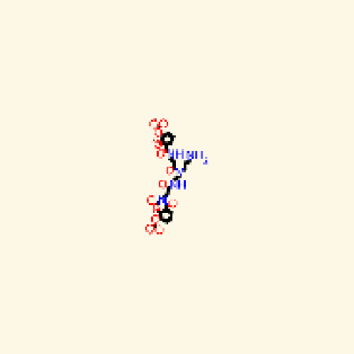 COC(=O)Oc1cccc(C(=O)NCCC(=O)N(CCCN)CCNC(=O)CCn2c(=O)oc3c(OC(=O)OC)cccc3c2=O)c1OC